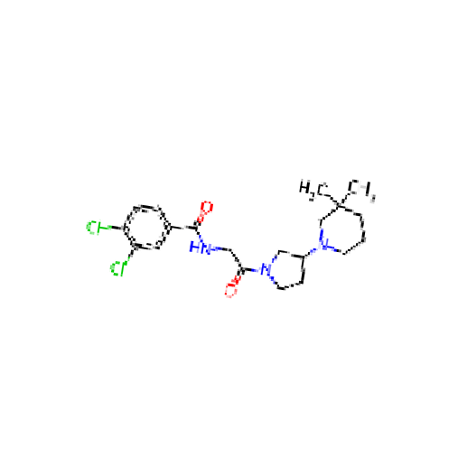 CC1(C)CCCN(C2CCN(C(=O)CNC(=O)c3ccc(Cl)c(Cl)c3)C2)C1